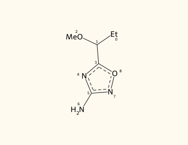 CCC(OC)c1nc(N)no1